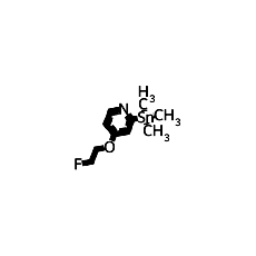 [CH3][Sn]([CH3])([CH3])[c]1cc(OCCF)ccn1